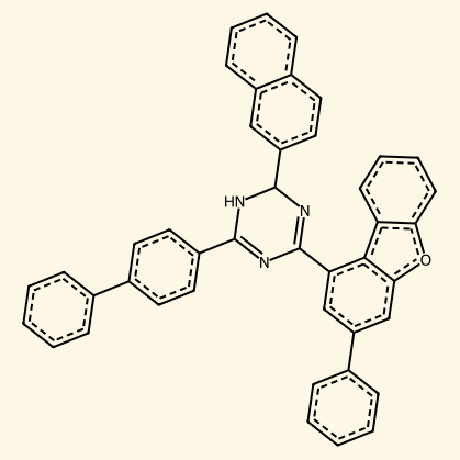 c1ccc(-c2ccc(C3=NC(c4cc(-c5ccccc5)cc5oc6ccccc6c45)=NC(c4ccc5ccccc5c4)N3)cc2)cc1